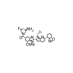 COc1cc(C(=O)N2C[C@H](N)C[C@@H](F)C2)cc2nc(-c3cc4ccc(-c5cccc6ocnc56)nc4n3CC3CC3)n(C)c12